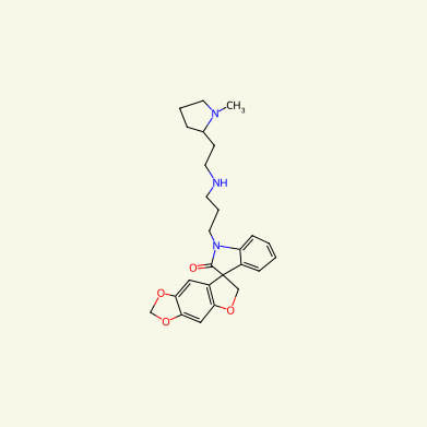 CN1CCCC1CCNCCCN1C(=O)C2(COc3cc4c(cc32)OCO4)c2ccccc21